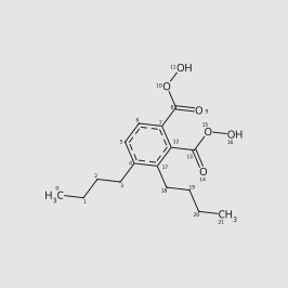 CCCCc1ccc(C(=O)OO)c(C(=O)OO)c1CCCC